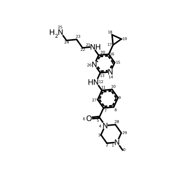 CN1CCN(C(=O)c2cccc(Nc3ncc(C4CC4)c(NCCCN)n3)c2)CC1